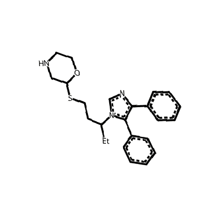 CCC(CCSC1CNCCO1)n1cnc(-c2ccccc2)c1-c1ccccc1